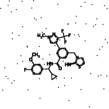 COc1cc(C(NC(=O)c2cc(Cn3ccsc3=N)cc(-c3cn(C)nc3C(F)(F)F)c2)C2CC2)ccc1F